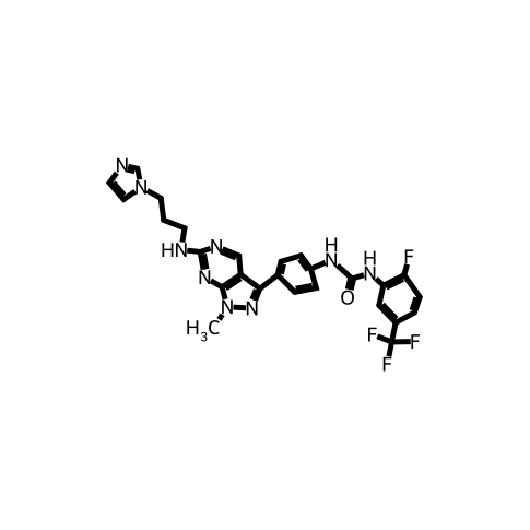 Cn1nc(-c2ccc(NC(=O)Nc3cc(C(F)(F)F)ccc3F)cc2)c2cnc(NCCCn3ccnc3)nc21